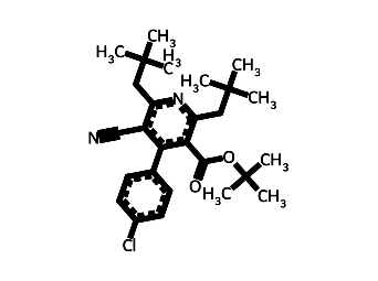 CC(C)(C)Cc1nc(CC(C)(C)C)c(C(=O)OC(C)(C)C)c(-c2ccc(Cl)cc2)c1C#N